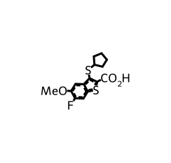 COc1cc2c(SC3CCCC3)c(C(=O)O)sc2cc1F